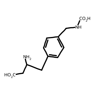 NC(CC(=O)O)Cc1ccc(CNC(=O)O)cc1